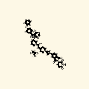 Nc1ncnc2c1c(-c1ccc(Oc3ccccc3)cc1)nn2[C@@H]1CCCN(C(=O)CC2CCN(C3CN(c4ccc5c(c4)C(=O)N(C4CCC(=O)NC4=O)C5=O)C3)CC2)C1.O=C(O)C(F)(F)F